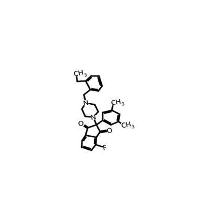 CCc1ccccc1CN1CCN(C2(c3cc(C)cc(C)c3)C(=O)c3cccc(F)c3C2=O)CC1